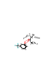 BC/C(C)=C(\C=C)Oc1cccc(C(F)(F)F)c1